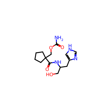 NC(=O)OCC1(C(=O)NC(CO)Cc2c[nH]cn2)CCCC1